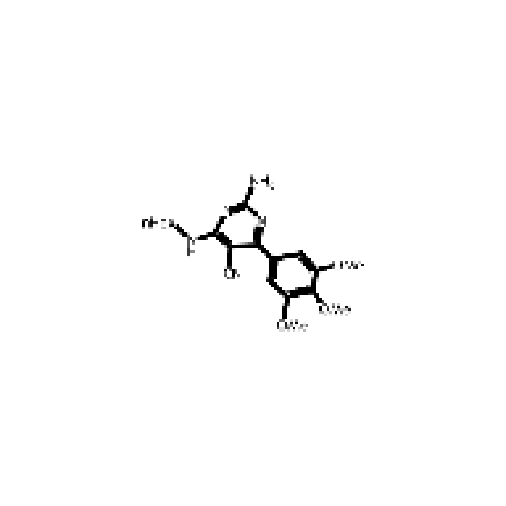 CCCCCCNc1nc(N)nc(-c2cc(OC)c(OC)c(OC)c2)c1C#N